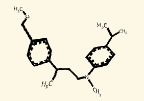 COCc1ccc(C(C)CCN(C)c2ccc(C(C)C)cc2)cc1